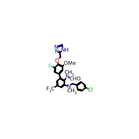 COc1cc(-c2cc(C(F)(F)F)cc(N(C)Cc3ccc(Cl)cc3)c2N(C)C=O)cc(F)c1OCc1nnc[nH]1